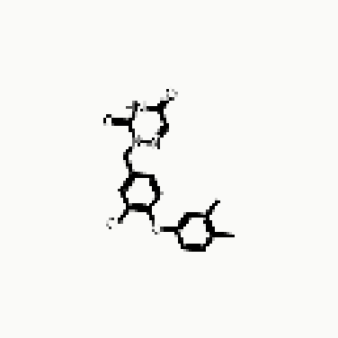 Cc1ccc(Oc2ccc(Cn3ncc(=O)[nH]c3=O)cc2Cl)cc1C